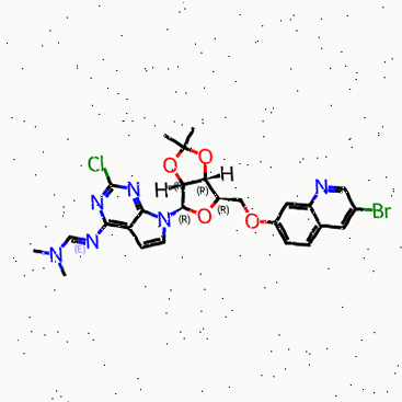 CN(C)/C=N/c1nc(Cl)nc2c1ccn2[C@@H]1O[C@H](COc2ccc3cc(Br)cnc3c2)[C@H]2OC(C)(C)O[C@H]21